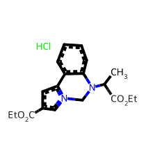 CCOC(=O)c1cc2n(c1)CN(C(C)C(=O)OCC)c1ccccc1-2.Cl